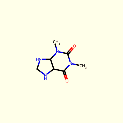 CN1C(=O)C2NCNC2N(C)C1=O